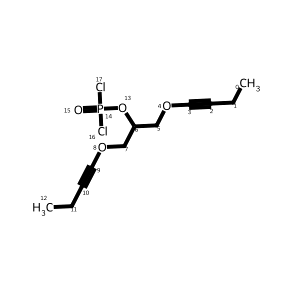 CCC#COCC(COC#CCC)OP(=O)(Cl)Cl